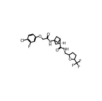 O=C(COc1ccc(Cl)c(F)c1)NC12CC(C1)[C@@H](C(=O)NCC1CCC(C(F)(F)F)O1)C2